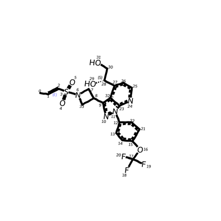 C/C=C/S(=O)(=O)N1CC(c2nn(-c3ccc(OC(F)(F)F)cc3)c3nccc([C@H](O)CO)c23)C1